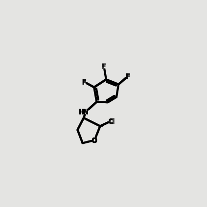 Fc1ccc(NC2CCO[C]2Cl)c(F)c1F